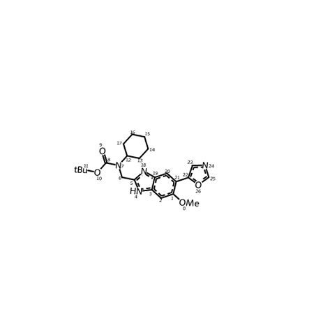 COc1cc2[nH]c(CN(C(=O)OC(C)(C)C)C3CCCCC3)nc2cc1-c1cnco1